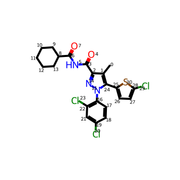 Cc1c(C(=O)NC(=O)C2CCCCC2)nn(-c2ccc(Cl)cc2Cl)c1-c1ccc(Cl)s1